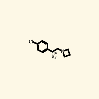 CC(=O)[C@@H](CN1CCC1)c1ccc(Cl)cc1